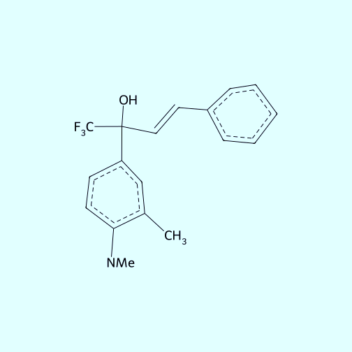 CNc1ccc(C(O)(C=Cc2ccccc2)C(F)(F)F)cc1C